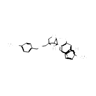 COc1ccc(COCC23CO[C@@H]([C@H](c4cc(C)c(C)cc4C)O2)[C@@H]3OCc2ccc(OC)cc2)cc1